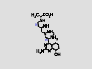 CC(N/C=C\C(=N)CN(N)/C=C(\N)c1nc(N)nc2c(O)cccc12)C(=O)O